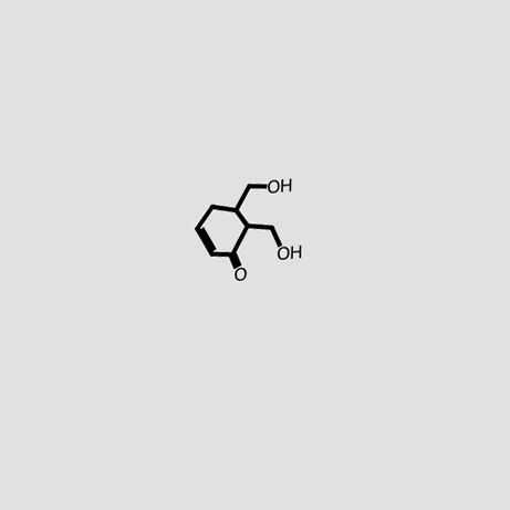 O=C1C=CCC(CO)C1CO